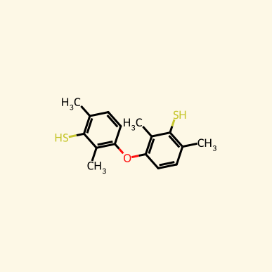 Cc1ccc(Oc2ccc(C)c(S)c2C)c(C)c1S